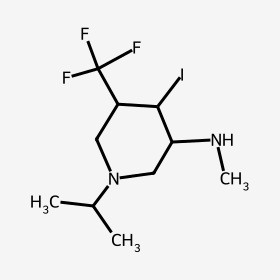 CNC1CN(C(C)C)CC(C(F)(F)F)C1I